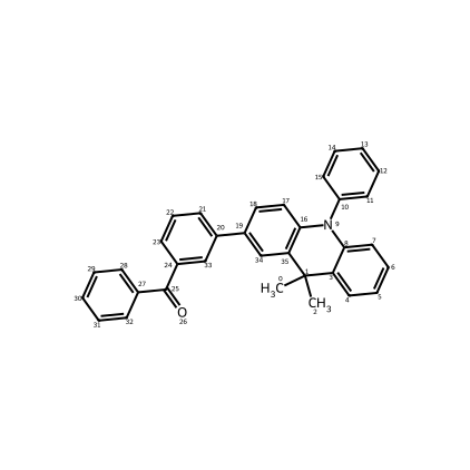 CC1(C)c2ccccc2N(c2ccccc2)c2ccc(-c3cccc(C(=O)c4ccccc4)c3)cc21